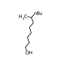 CCCCC(C)CCCCCCO